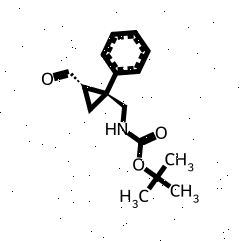 CC(C)(C)OC(=O)NC[C@@]1(c2ccccc2)C[C@@H]1C=O